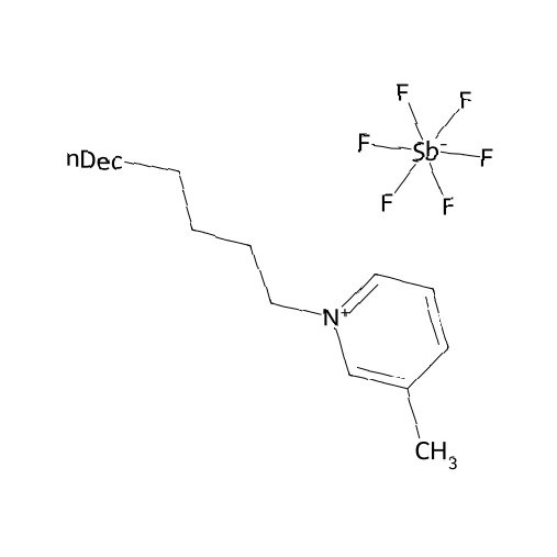 CCCCCCCCCCCCCC[n+]1cccc(C)c1.[F][Sb-]([F])([F])([F])([F])[F]